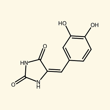 O=C1NC(=O)/C(=C\c2ccc(O)c(O)c2)N1